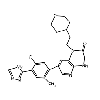 Cc1cc(-c2nnc[nH]2)c(F)cc1-c1cnc2c(n1)N(CCC1CCOCC1)C(=O)CN2